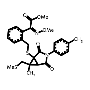 CON=C(C(=O)OC)c1ccccc1CSC12C(=O)N(c3ccc(C)cc3)C(=O)C1C2(C)CSC